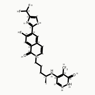 C[C@@H](CCCn1ccc2cc(-c3nc(C(F)F)cs3)c(F)cc2c1=O)Nc1cn[nH]c(=O)c1C(F)(F)F